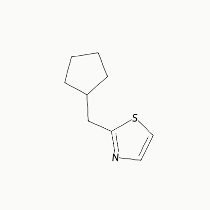 c1csc(CC2CCCC2)n1